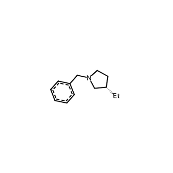 CC[C@H]1CCN(Cc2ccccc2)C1